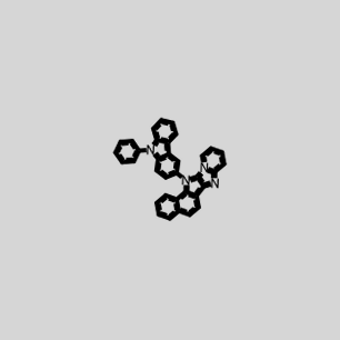 c1ccc(-n2c3ccccc3c3cc(-n4c5c6ccccc6ccc5c5nc6ccccn6c54)ccc32)cc1